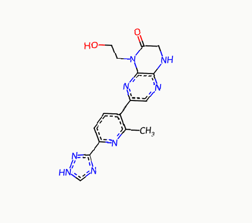 Cc1nc(-c2nc[nH]n2)ccc1-c1cnc2c(n1)N(CCO)C(=O)CN2